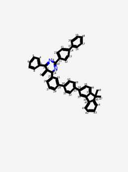 C=C1C(c2ccccc2)=NC(c2ccc(-c3ccccc3)cc2)=NC1c1cccc(-c2ccc(-c3ccc4c(c3)-c3ccccc3C4(C)C)cc2)c1